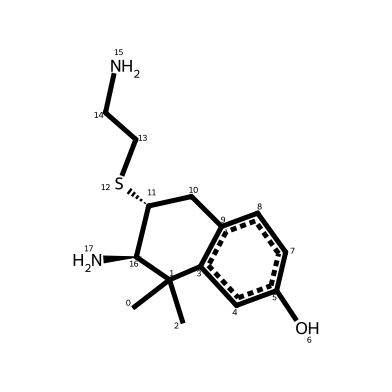 CC1(C)c2cc(O)ccc2C[C@@H](SCCN)[C@@H]1N